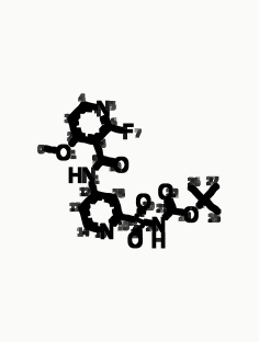 COc1ccnc(F)c1C(=O)Nc1ccnc(S(=O)(=O)NC(=O)OC(C)(C)C)c1